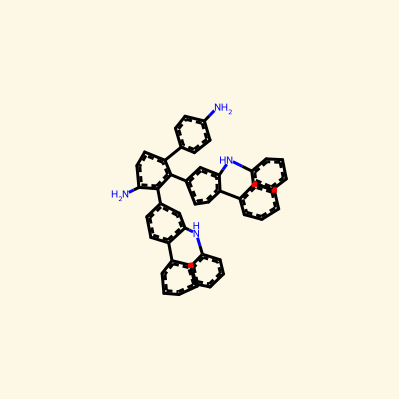 Nc1ccc(-c2ccc(N)c(-c3ccc(-c4ccccc4)c(Nc4ccccc4)c3)c2-c2ccc(-c3ccccc3)c(Nc3ccccc3)c2)cc1